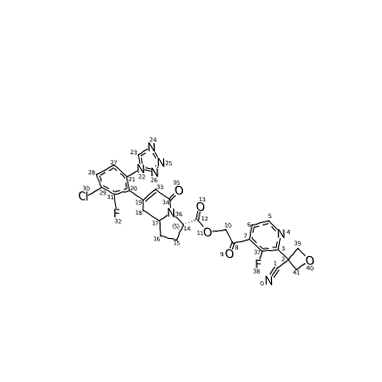 N#CC1(c2nccc(C(=O)COC(=O)[C@@H]3CCC4CC(c5c(-n6cnnn6)ccc(Cl)c5F)=CC(=O)N43)c2F)COC1